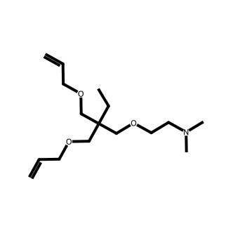 C=CCOCC(CC)(COCC=C)COCCN(C)C